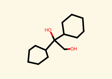 OCC(O)(C1CCCCC1)C1CCCCC1